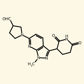 Cn1nc(C2CCC(=O)NC2=O)c2ccc(N3CCC(C=O)C3)nc21